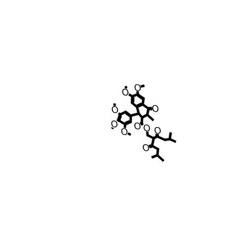 COc1cc2c(cc1OC)C(c1cc(OC)c(OC)c(OC)c1)C(C(=O)OCC(C(=O)CC(C)C)C(=O)CC(C)C)C(C)C2=O